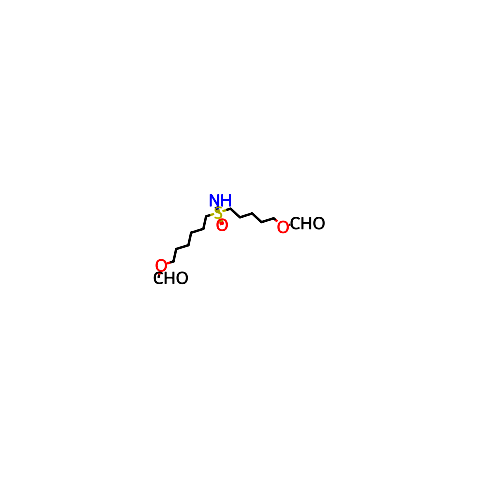 N=S(=O)(CCCCCCOC=O)CCCCCOC=O